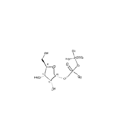 O=P(O)(O)OP(=O)(O)O[C@H]1O[C@H](CO)[C@@H](O)[C@H]1O